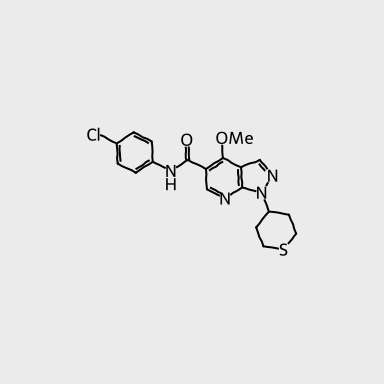 COc1c(C(=O)Nc2ccc(Cl)cc2)cnc2c1cnn2C1CCSCC1